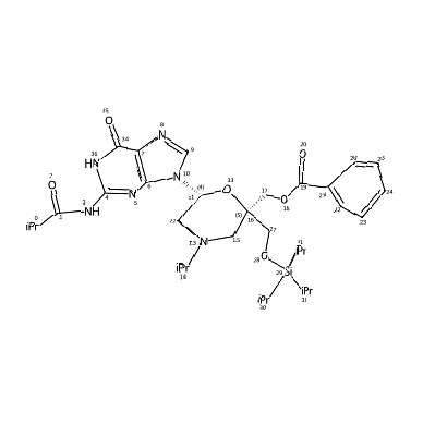 CC(C)C(=O)Nc1nc2c(ncn2[C@H]2CN(C(C)C)C[C@](COC(=O)c3ccccc3)(CO[Si](C(C)C)(C(C)C)C(C)C)O2)c(=O)[nH]1